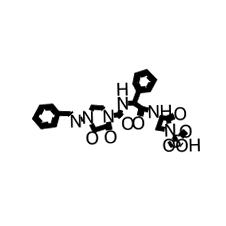 O=C(N[C@H]1CN(S(=O)(=O)O)C1=O)C(NC(=O)N1CCN(N=Cc2ccccc2)C(=O)C1=O)c1ccccc1